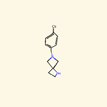 N#Cc1ccc(N2CC3(CCN3)C2)cc1